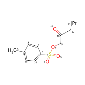 Cc1ccc(S(=O)(=O)OCC(=O)CC(C)C)cc1